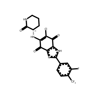 O=C1C(N[C@H]2CCCNC2=O)=C(Cl)C(=O)c2[nH]c(-c3ccc(C(F)(F)F)c(F)c3)nc21